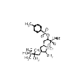 B[C@@H]1O[C@H](CC(OS(=O)(=O)c2ccc(C)cc2)P(=O)(OCC)OCC)C[C@@H]1CC(C)(C)[Si](C)(C)O